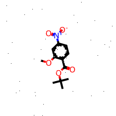 COc1cc([N+](=O)[O-])ccc1C(=O)OC(C)(C)C